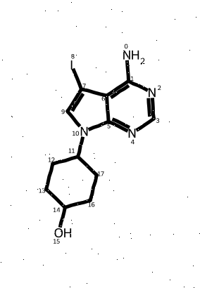 Nc1ncnc2c1c(I)cn2C1CCC(O)CC1